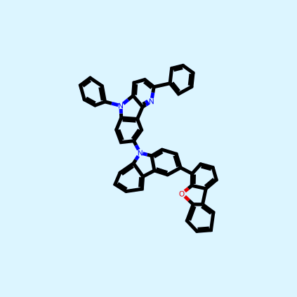 c1ccc(-c2ccc3c(n2)c2cc(-n4c5ccccc5c5cc(-c6cccc7c6oc6ccccc67)ccc54)ccc2n3-c2ccccc2)cc1